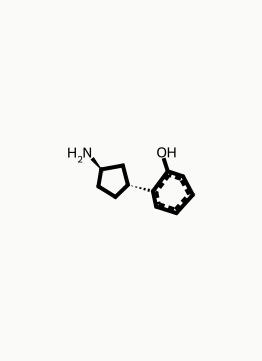 N[C@@H]1CC[C@@H](c2ccccc2O)C1